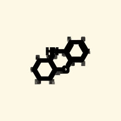 c1ccc2c(c1)NC1CCCCC1O2